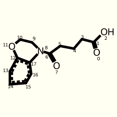 O=C(O)CCCC(=O)N1CCOc2ccccc21